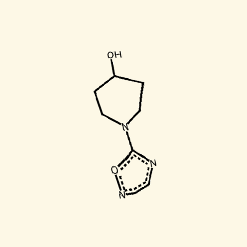 OC1CCN(c2ncno2)CC1